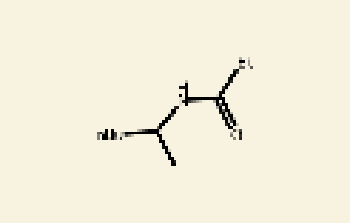 [CH2]CC(=O)NC(C)CCCC